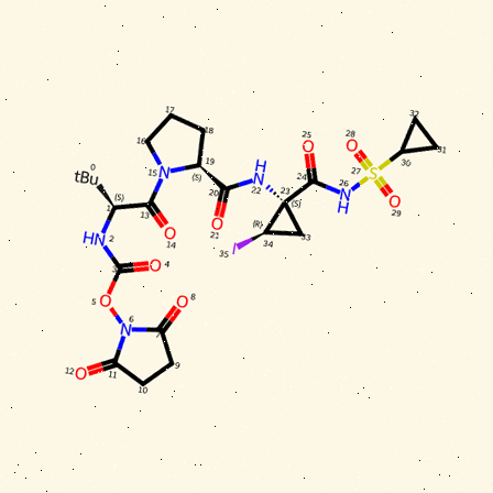 CC(C)(C)[C@H](NC(=O)ON1C(=O)CCC1=O)C(=O)N1CCC[C@H]1C(=O)N[C@]1(C(=O)NS(=O)(=O)C2CC2)C[C@H]1I